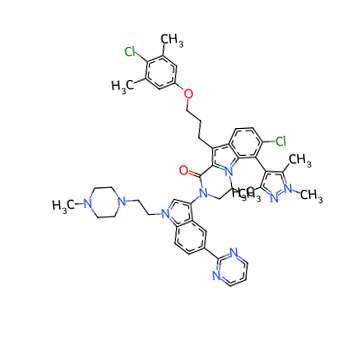 Cc1cc(OCCCc2c3n(c4c(-c5c(C)nn(C)c5C)c(Cl)ccc24)C(C)CN(c2cn(CCN4CCN(C)CC4)c4ccc(-c5ncccn5)cc24)C3=O)cc(C)c1Cl